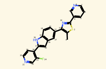 Cc1sc(-c2cccnc2)nc1-c1ccc2[nH]c(-c3ccncc3F)cc2c1